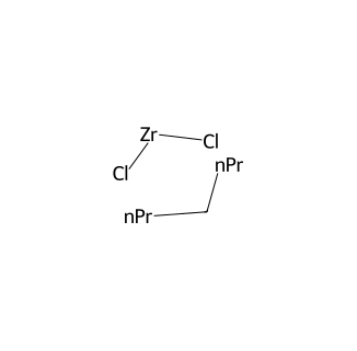 CCCCCCC.[Cl][Zr][Cl]